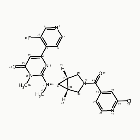 CN(c1nc(-c2ccncc2F)cc(=O)n1C)[C@@H]1[C@@H]2CN(C(=O)c3ccnc(Cl)c3)C[C@@H]21